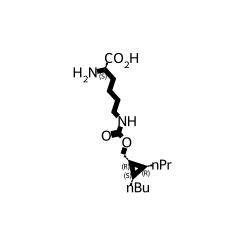 CCCC[C@H]1[C@@H](CCC)[C@H]1COC(=O)NCCCC[C@H](N)C(=O)O